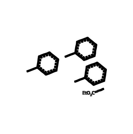 CCOC(C)=O.Cc1ccccc1.Cc1ccccc1.Cc1ccccc1